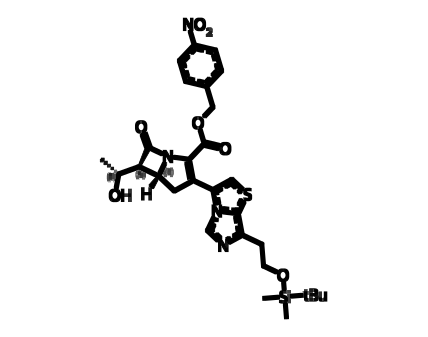 C[C@@H](O)[C@H]1C(=O)N2C(C(=O)OCc3ccc([N+](=O)[O-])cc3)=C(c3csc4c(CCO[Si](C)(C)C(C)(C)C)ncn34)C[C@H]12